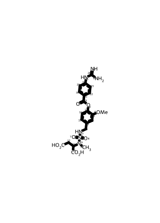 COc1cc(CNS(=O)(=O)N(C)C(CC(=O)O)C(=O)O)ccc1OC(=O)c1ccc(NC(=N)N)cc1